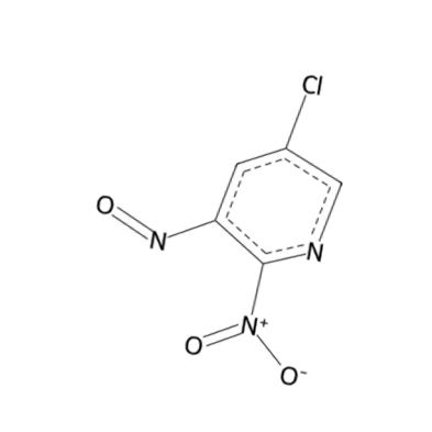 O=Nc1cc(Cl)cnc1[N+](=O)[O-]